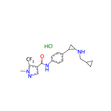 Cl.Cn1ncc(C(=O)Nc2ccc(C3CC3NCC3CC3)cc2)c1C(F)(F)F